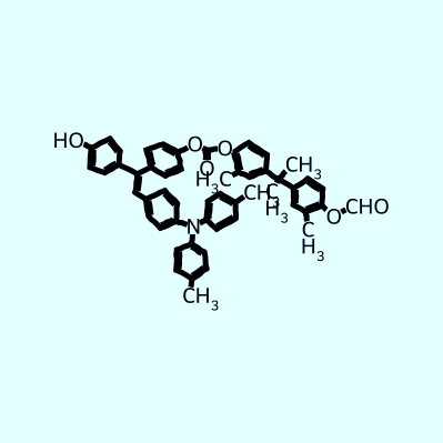 Cc1ccc(N(c2ccc(C)cc2)c2ccc(C=C(c3ccc(O)cc3)c3ccc(OC(=O)Oc4ccc(C(C)(C)c5ccc(OC=O)c(C)c5)cc4C)cc3)cc2)cc1